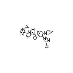 O=C(Nc1csc(-c2nccn2C2CC2)n1)c1cc(-n2cnc(C3CC3)c2)c(N2CC3CC3C2)cn1